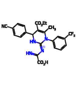 CCOC(=O)C1=C(C)N(c2cccc(C(F)(F)F)c2)/C(=N/C(=N)C(=O)O)NC1c1ccc(C#N)cc1